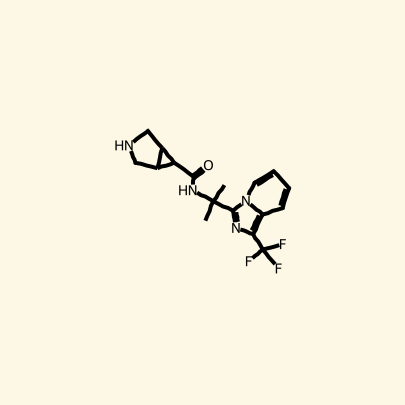 CC(C)(NC(=O)C1C2CNCC21)c1nc(C(F)(F)F)c2ccccn12